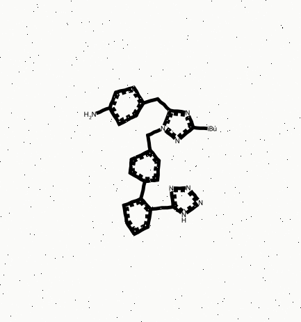 CCC(C)c1nc(Cc2ccc(N)cc2)n(Cc2ccc(-c3ccccc3-c3nnn[nH]3)cc2)n1